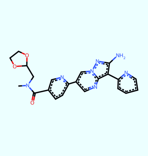 CN(CC1OCCO1)C(=O)c1ccc(-c2cnc3c(-c4ccccn4)c(N)nn3c2)nc1